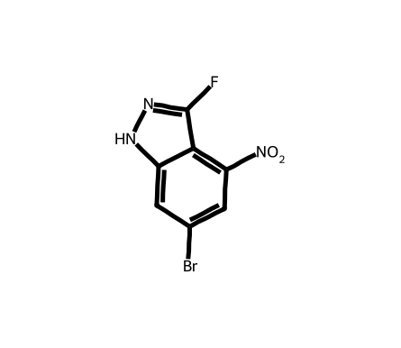 O=[N+]([O-])c1cc(Br)cc2[nH]nc(F)c12